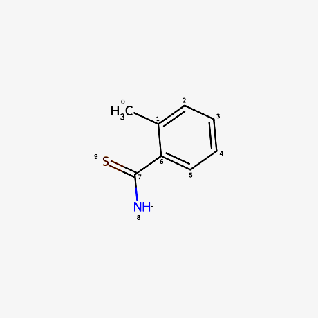 Cc1ccccc1C([NH])=S